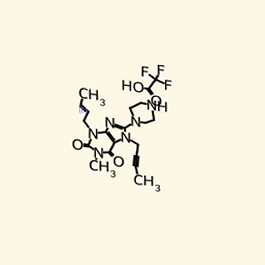 CC#CCn1c(N2CCNCC2)nc2c1c(=O)n(C)c(=O)n2C/C=C/C.O=C(O)C(F)(F)F